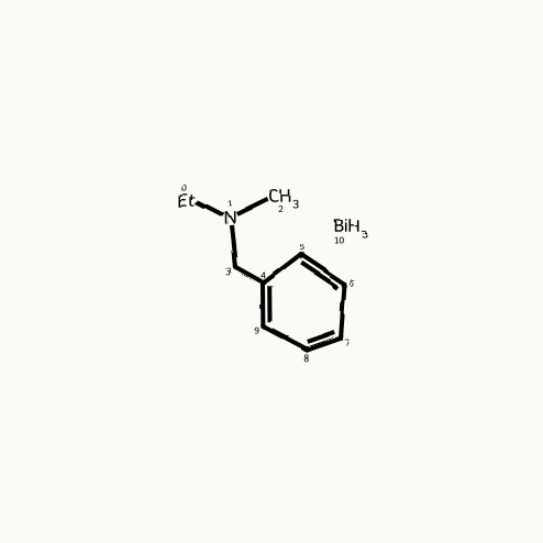 CCN(C)Cc1[c]cccc1.[BiH3]